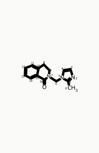 Cc1nccn1CN1CCc2ccccc2C1=O